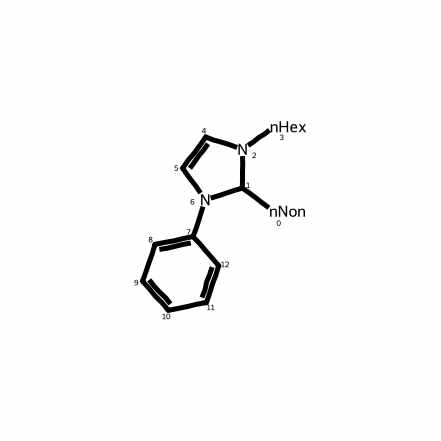 CCCCCCCCCC1N(CCCCCC)C=CN1c1ccccc1